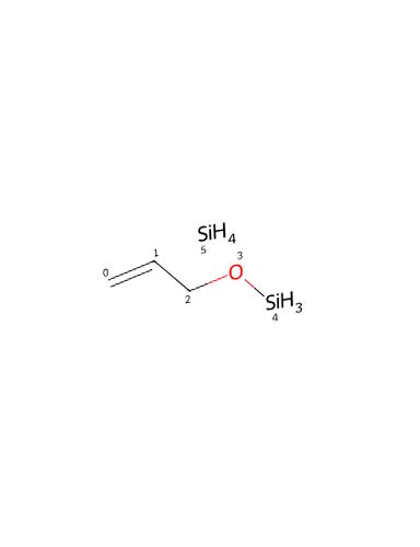 C=CCO[SiH3].[SiH4]